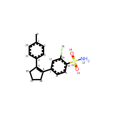 Cc1ccc(C2=C(c3ccc(S(N)(=O)=O)c(F)c3)CCC2)cc1